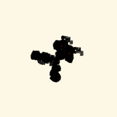 Cc1ccc2c(c1)c1cc(C)ccc1n2-c1c(-c2ccccc2)cc(-c2nc(-c3ccc4c5c(oc4c3)CCC=C5)nc(-c3ccc4c(c3)oc3ccccc34)n2)cc1-c1ccccc1